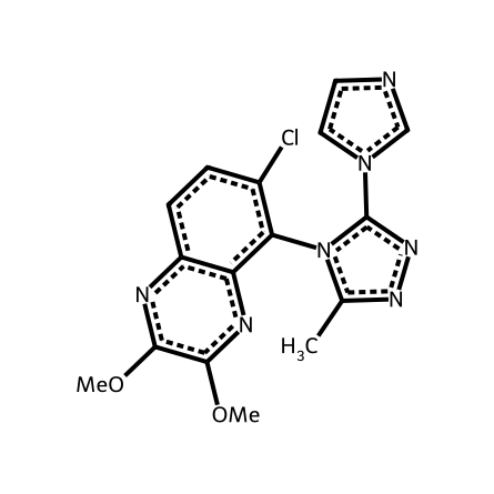 COc1nc2ccc(Cl)c(-n3c(C)nnc3-n3ccnc3)c2nc1OC